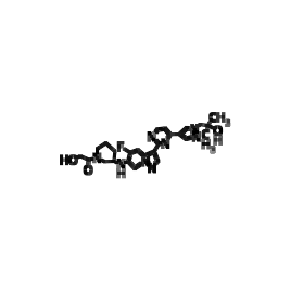 CC(C)(O)Cn1cc(-c2ccnc(-c3cnn4cc(N[C@@H]5CCCN(C(=O)CO)C5)c(F)cc34)n2)cn1